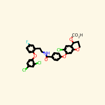 O=C(O)OC1CCOc2cc(Oc3ccc(C(=O)NCCc4cc(F)ccc4Oc4ccc(Cl)cc4Cl)cc3)c(Cl)cc21